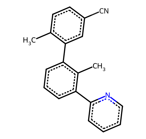 Cc1ccc(C#N)cc1-c1cccc(-c2ccccn2)c1C